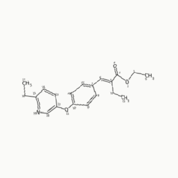 CCOC(=O)/C(=C/c1ccc(Oc2ccc(CC)nc2)cc1)CC